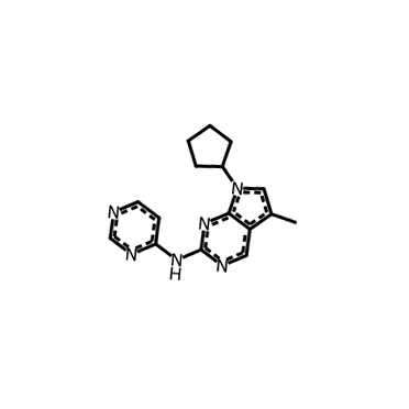 Cc1cn(C2CCCC2)c2nc(Nc3ccncn3)ncc12